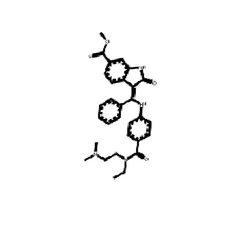 CCN(CCN(C)C)C(=O)c1ccc(N/C(=C2\C(=O)Nc3cc(C(=O)OC)ccc32)c2ccccc2)cc1